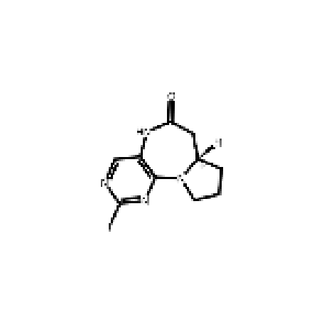 O=C1C[C@@H]2CCCN2c2nc(I)ncc2N1